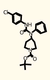 CC(C)(C)OC(=O)N1CCC(N(C(=O)Nc2ccc(Cl)cc2)c2ccccc2)CC1